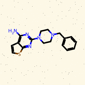 Nc1nc(N2CCN(Cc3ccccc3)CC2)nc2sccc12